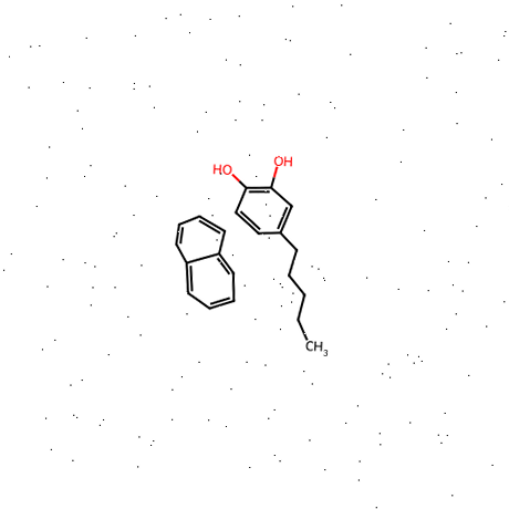 CCCCCc1ccc(O)c(O)c1.c1ccc2ccccc2c1